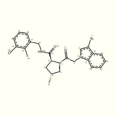 CC(=O)c1cn(CC(=O)N2C[C@H](F)C[C@H]2C(=O)NCc2cccc(Cl)c2F)c2cc[c]cc12